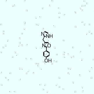 Oc1ccc(-c2nc(Cc3ncc[nH]3)co2)cc1